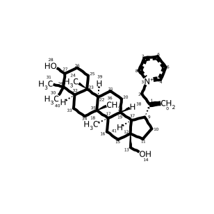 C=C(C[n+]1ccccc1)[C@@H]1CC[C@]2(CO)CC[C@]3(C)[C@H](CC[C@@H]4[C@@]5(C)CCC(O)C(C)(C)[C@@H]5CC[C@]43C)[C@@H]12